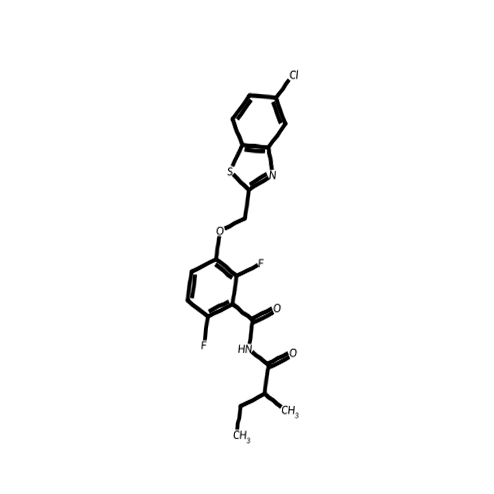 CCC(C)C(=O)NC(=O)c1c(F)ccc(OCc2nc3cc(Cl)ccc3s2)c1F